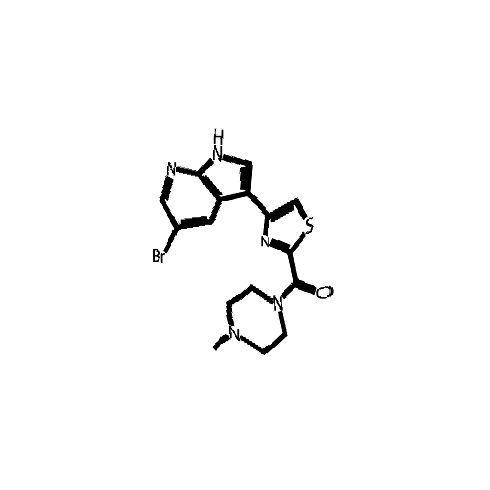 CN1CCN(C(=O)c2nc(-c3c[nH]c4ncc(Br)cc34)cs2)CC1